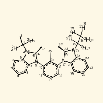 [2H]C([2H])(C)N1c2ccccc2N(c2cccc(N3c4ccccc4N(C([2H])([2H])C([2H])([2H])[2H])[C@@H]3C)c2C)[C@@H]1C